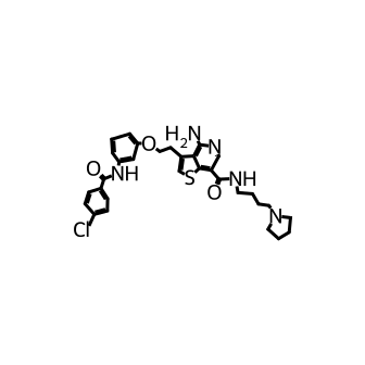 Nc1ncc(C(=O)NCCCCN2CCCC2)c2scc(CCOc3cccc(NC(=O)c4ccc(Cl)cc4)c3)c12